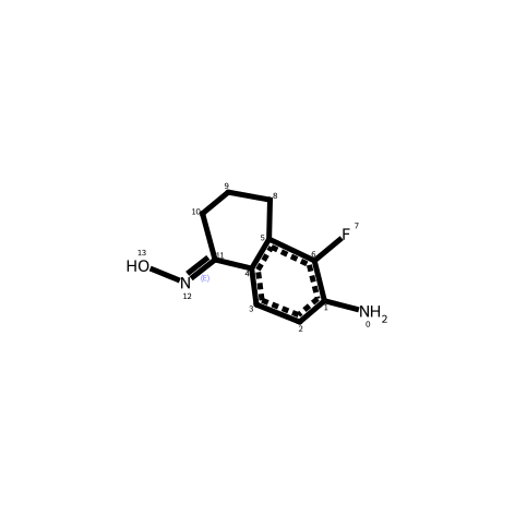 Nc1ccc2c(c1F)CCC/C2=N\O